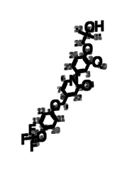 COc1cc(-n2ccc(COc3ccc(OC(F)(F)F)cc3)cc2=O)ccc1OCC(C)(C)O